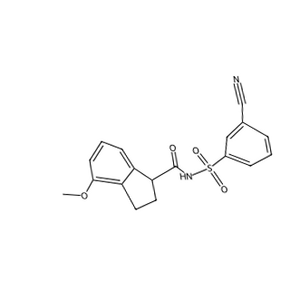 COc1cccc2c1CCC2C(=O)NS(=O)(=O)c1cccc(C#N)c1